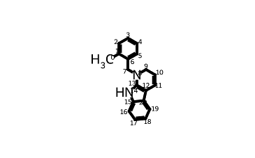 Cc1ccccc1CN1CC=Cc2c1[nH]c1ccccc21